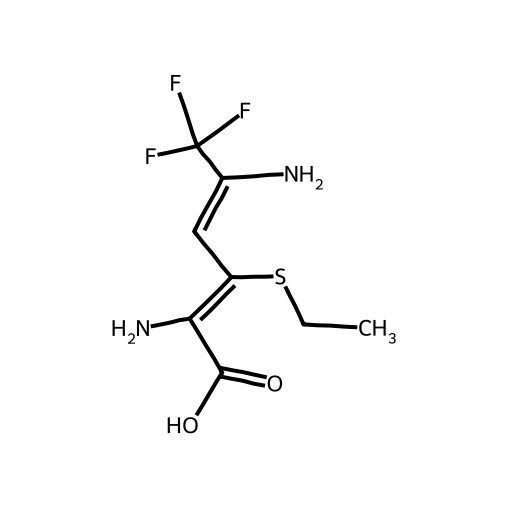 CCSC(/C=C(\N)C(F)(F)F)=C(/N)C(=O)O